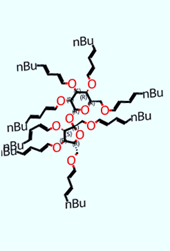 CCCCC=CC=COC[C@H]1O[C@@](COC=CC=CCCCC)(O[C@H]2O[C@H](COC=CC=CCCCC)[C@@H](OC=CC=CCCCC)[C@H](OC=CC=CCCCC)[C@H]2OC=CC=CCCCC)[C@@H](OC=CC=CCCCC)[C@@H]1OC=CC=CCCCC